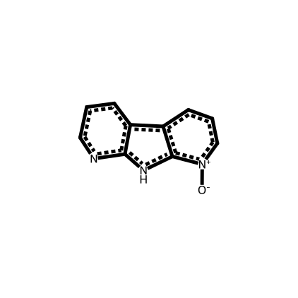 [O-][n+]1cccc2c3cccnc3[nH]c21